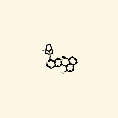 C#Cc1cccc2ccc(O)c(-c3cc4ncnc(N5C[C@H]6CC[C@@H](C5)C6N)c4cn3)c12